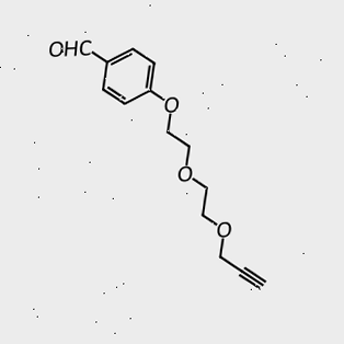 C#CCOCCOCCOc1ccc(C=O)cc1